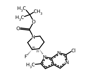 Cc1cc2cnc(Cl)nc2n1[C@H]1CCN(C(=O)OC(C)(C)C)C[C@H]1F